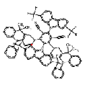 CC1(C)C2=C(C=CC(c3c(C#N)c(-n4c5cc(C(F)(F)F)ccc5c5ccc(C(F)(F)F)cc54)c(C#N)c(C4C=CC5=C(C4)C(C)(C)c4ccccc4N5c4ccccc4)c3-n3c4cc(C(F)(F)F)ccc4c4ccc(C(F)(F)F)cc43)C2)N(c2ccccc2)c2ccccc21